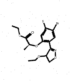 CCOC(=O)[C@H](C)Oc1cc(F)c(Br)cc1C1=NOCC1OCC